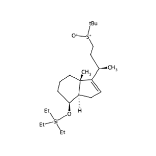 CC[Si](CC)(CC)O[C@H]1CCC[C@]2(C)C([C@H](C)CC[S+]([O-])C(C)(C)C)=CC[C@@H]12